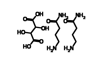 NCCCC(N)=O.NCCCC(N)=O.O=C(O)C(O)C(O)C(=O)O